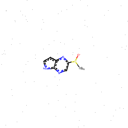 CCCC[S+]([O-])c1cnc2[nH]ccc2n1